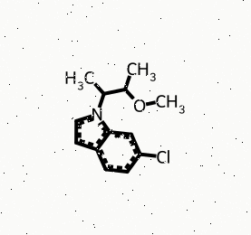 COC(C)C(C)n1ccc2ccc(Cl)cc21